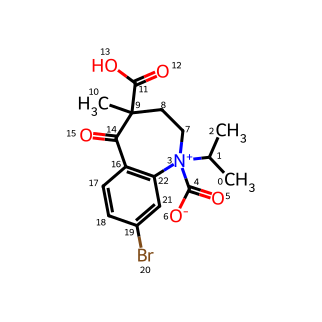 CC(C)[N+]1(C(=O)[O-])CCC(C)(C(=O)O)C(=O)c2ccc(Br)cc21